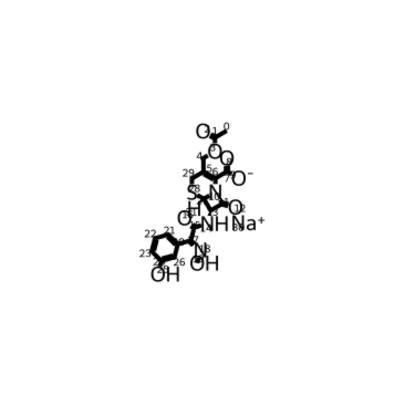 CC(=O)OCC1=C(C(=O)[O-])N2C(=O)[C@@H](NC(=O)C(=NO)c3cccc(O)c3)[C@H]2SC1.[Na+]